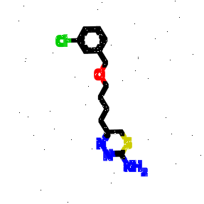 NC1=NN=C(CCCCOCc2cccc(Cl)c2)CS1